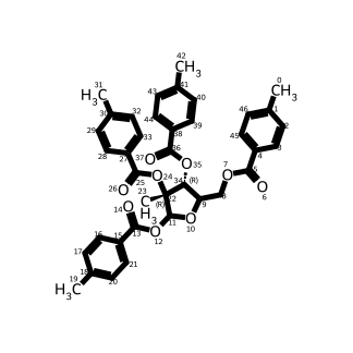 Cc1ccc(C(=O)OCC2OC(OC(=O)c3ccc(C)cc3)[C@](C)(OC(=O)c3ccc(C)cc3)[C@@H]2OC(=O)c2ccc(C)cc2)cc1